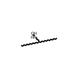 CCCCCCCCCCCCC(CCCCCCCCCCCC)CCCNCCO